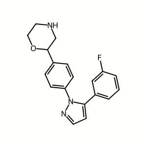 Fc1cccc(-c2ccnn2-c2ccc(C3CNCCO3)cc2)c1